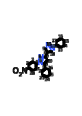 O=[N+]([O-])c1ccc(-n2nc(-c3cnn(-c4ccccc4)c3)cc2-c2ccccc2)cc1